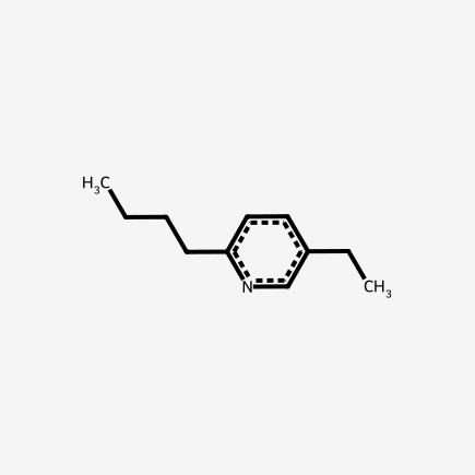 CCCCc1ccc(CC)cn1